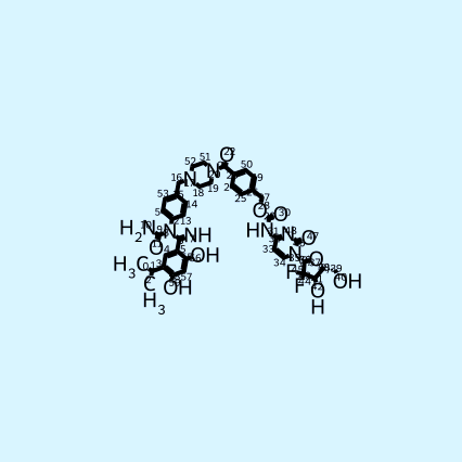 CC(C)c1cc(C(=N)N(C(N)=O)c2ccc(CN3CCN(C(=O)c4ccc(COC(=O)Nc5ccn([C@@H]6O[C@H](CO)C(O)C6(F)F)c(=O)n5)cc4)CC3)cc2)c(O)cc1O